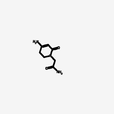 NC(=O)CN1CCC(N)=CC1=O